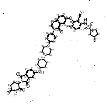 N#Cc1c(NS(=O)(=O)N2CC[C@@H](F)C2)ccc(F)c1Oc1ccc2ncn(-c3cnc(N4CCN([C@H]5CC[C@H](Nc6ccc7c(c6)C(=O)N(C6CCC(=O)NC6=O)C7=O)CC5)CC4)nc3)c(=O)c2c1